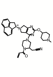 C=CC(=O)N1CCN(c2nc(OC3CCN(C)CC3)nc3c2CN([C@@H]2Cc4cccc5cccc2c45)C3)CC1CC#N